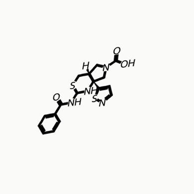 O=C(NC1N[C@@]2(c3ccns3)CN(C(=O)O)C[C@H]2CS1)c1ccccc1